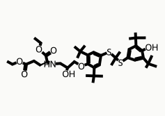 CCOC(=O)CC[C@H](NCC(O)COc1c(C(C)(C)C)cc(SC(C)(C)Sc2cc(C(C)(C)C)c(O)c(C(C)(C)C)c2)cc1C(C)(C)C)C(=O)OCC